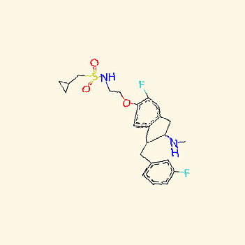 CNC1Cc2cc(F)c(OCCNS(=O)(=O)CC3CC3)cc2C1Cc1cccc(F)c1